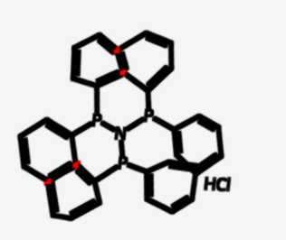 Cl.c1ccc(P(c2ccccc2)N(P(c2ccccc2)c2ccccc2)P(c2ccccc2)c2ccccc2)cc1